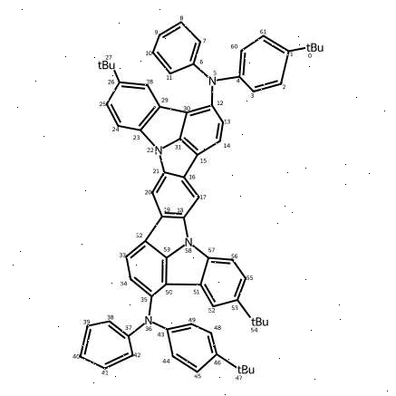 CC(C)(C)c1ccc(N(c2ccccc2)c2ccc3c4cc5c(cc4n4c6ccc(C(C)(C)C)cc6c2c34)c2ccc(N(c3ccccc3)c3ccc(C(C)(C)C)cc3)c3c4cc(C(C)(C)C)ccc4n5c23)cc1